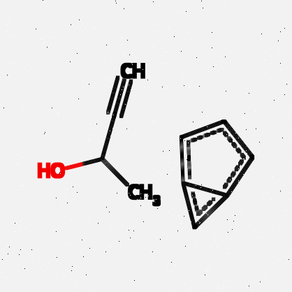 C#CC(C)O.c1cc2cc-2c1